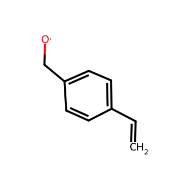 C=Cc1ccc(C[O])cc1